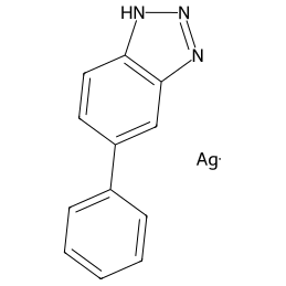 [Ag].c1ccc(-c2ccc3[nH]nnc3c2)cc1